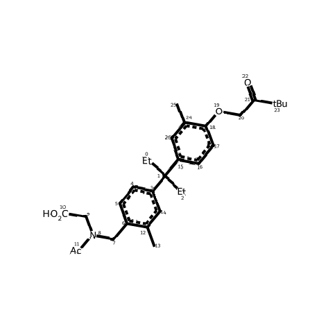 CCC(CC)(c1ccc(CN(CC(=O)O)C(C)=O)c(C)c1)c1ccc(OCC(=O)C(C)(C)C)c(C)c1